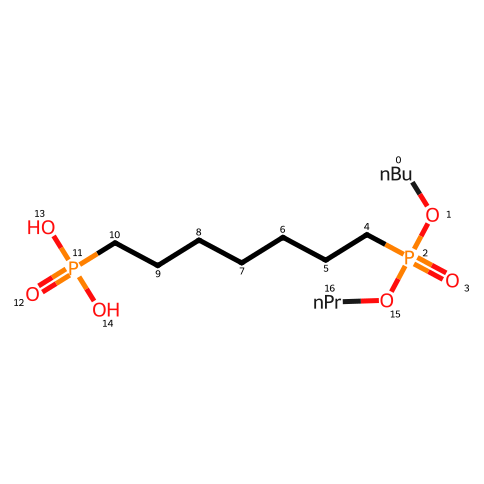 CCCCOP(=O)(CCCCCCCP(=O)(O)O)OCCC